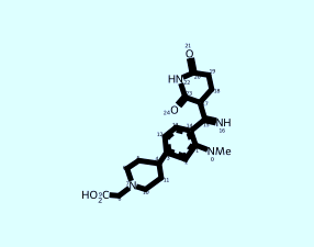 CNc1cc(C2CCN(CC(=O)O)CC2)ccc1C(=N)C1CCC(=O)NC1=O